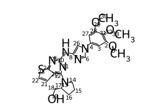 COc1cc(-n2cnc(Nc3nc(N4CCC[C@H]4CO)c4ccsc4n3)c2)cc(OC)c1OC